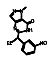 CCC(c1cccc([N+](=O)[O-])c1)c1nc2cnn(C)c2c(=O)[nH]1